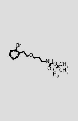 CC(C)(C)OC(=O)NCCCOCCc1ccccc1Br